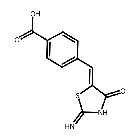 N=C1NC(=O)C(=Cc2ccc(C(=O)O)cc2)S1